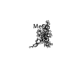 C=CCOc1cccc([C@@H](CCc2ccc(C)c(C)c2)OC(=O)[C@@H]2CCCCN2C(=O)[C@H](c2cc(C)c(OCC=C)c(OC)c2)C2CCCCC2)c1